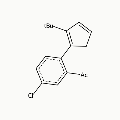 CC(=O)c1cc(Cl)ccc1C1=C(C(C)(C)C)C=CC1